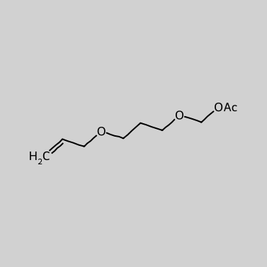 C=CCOCCCOCOC(C)=O